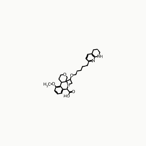 COc1cccc(C(C(=O)O)N2CC(OCCCCCc3ccc4c(n3)NCCC4)C2)c1C1CCOCC1